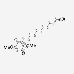 CCCCC=CCCCCCCCCCC1=C(OC)C(=O)C=C(OC)C1=O